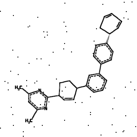 Cc1cc(C)nc(C2C=CC(c3cccc(-c4ccc([C@H]5C=CC=CC5)cc4)c3)CC2)n1